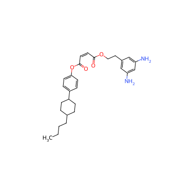 CCCCC1CCC(c2ccc(OC(=O)/C=C\C(=O)OCCc3cc(N)cc(N)c3)cc2)CC1